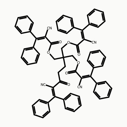 N#CC(C(=O)CCC(COC(=O)C(C#N)=C(c1ccccc1)c1ccccc1)(COC(=O)C(C#N)=C(c1ccccc1)c1ccccc1)COC(=O)C(C#N)=C(c1ccccc1)c1ccccc1)=C(c1ccccc1)c1ccccc1